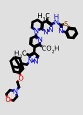 Cc1c(Nc2nc3ccccc3s2)nnc2c1CCCN2c1ccc(-c2cnn(CC34CC5CC(C3)CC(OCCN3CCOCC3)(C5)C4)c2C)c(C(=O)O)n1